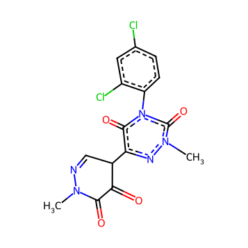 CN1N=CC(c2nn(C)c(=O)n(-c3ccc(Cl)cc3Cl)c2=O)C(=O)C1=O